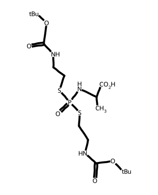 CC(NP(=O)(SCCNC(=O)OC(C)(C)C)SCCNC(=O)OC(C)(C)C)C(=O)O